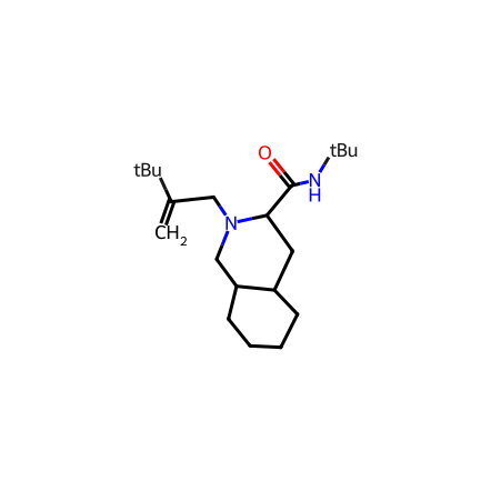 C=C(CN1CC2CCCCC2CC1C(=O)NC(C)(C)C)C(C)(C)C